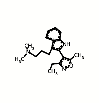 CCc1noc(C)c1-c1[nH]c2ccccc2c1CCCN(C)C